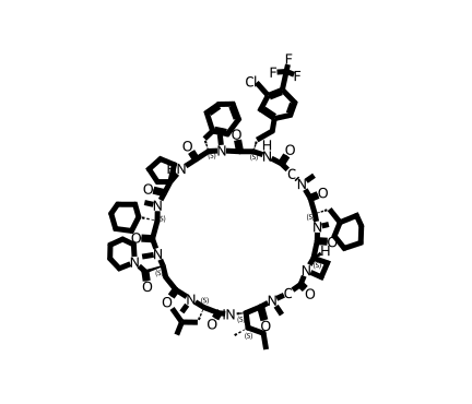 CC[C@H](C)[C@@H]1NC(=O)[C@H](CC(C)C)N(C)C(=O)C[C@@H](C(=O)N2CCCCC2)N(C)C(=O)[C@H](C2CCCCC2)N(C)C(=O)C2(CCCC2)NC(=O)[C@H](Cc2ccccc2)N(C)C(=O)[C@H](CCc2ccc(C(F)(F)F)c(Cl)c2)NC(=O)CN(C)C(=O)[C@H](CC2CCCCC2)N(C)C(=O)[C@@H]2CCN2C(=O)CN(C)C1=O